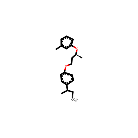 Cc1cccc(O[C@@H](C)CCOc2ccc(C(C)CC(=O)O)cc2)c1